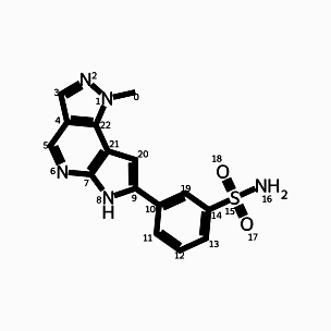 Cn1ncc2cnc3[nH]c(-c4cccc(S(N)(=O)=O)c4)cc3c21